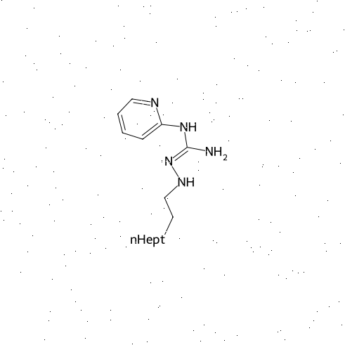 CCCCCCCCCNN=C(N)Nc1ccccn1